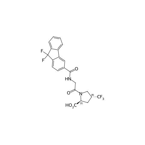 O=C(NCC(=O)N1C[C@H](C(F)(F)F)C[C@H]1C(=O)O)c1ccc2c(c1)-c1ccccc1C2(F)F